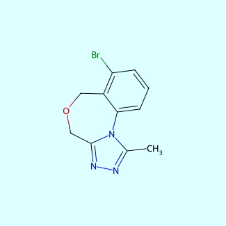 Cc1nnc2n1-c1cccc(Br)c1COC2